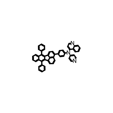 c1ccc(-c2c3c(c(-c4ccccc4)c4ccccc24)-c2ccc(-c4ccc(N(c5ccncc5)c5ccnc6ccccc56)cc4)c4cccc-3c24)cc1